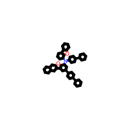 c1ccc(-c2ccc(-c3cc(N(c4ccc(-c5ccccc5)cc4)c4cccc5c4oc4ccccc45)c4oc5cc6ccccc6cc5c4c3)cc2)cc1